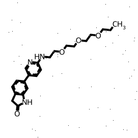 CCCOCCOCCOCCNc1ccc(-c2ccc3c(c2)NC(=O)C3)cn1